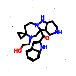 O=C(c1cc2ccccc2[nH]1)C12CN(CCO)C3(CCN1NC1CCNCC12)CC3